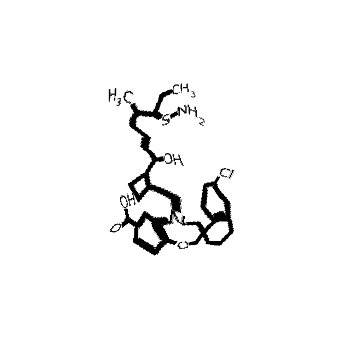 CCC(SN)C(C)C/C=C/C(O)C1CCC1CN1CC2(CCCc3cc(Cl)ccc32)COc2ccc(C(=O)O)cc21